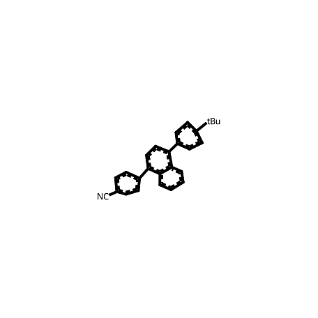 CC(C)(C)c1ccc(-c2ccc(-c3ccc(C#N)cc3)c3ccccc23)cc1